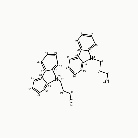 ClCCCn1c2ccccc2c2ccccc21.ClCCCn1c2ccccc2c2ccccc21